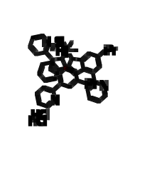 CC(C)c1cc(-c2ccccn2)c2c(c1)[CH]([Hf]([CH3])([CH3])(=[SiH2])[CH]1C(c3ccccc3)=Cc3c(-c4ccccn4)cc(C(C)C)cc31)C(c1ccccc1)=C2.Cl.Cl